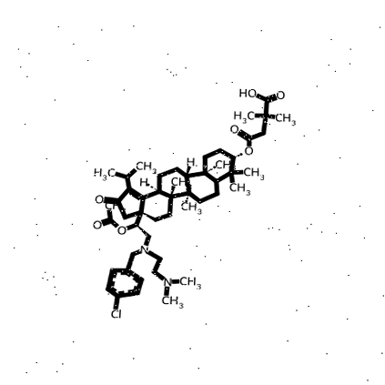 CC(=O)O[C@H](CN(CCN(C)C)Cc1ccc(Cl)cc1)[C@@]12CC[C@]3(C)[C@H](CC[C@@H]4[C@@]5(C)CC[C@H](OC(=O)CC(C)(C)C(=O)O)C(C)(C)C5CC[C@]43C)C1=C(C(C)C)C(=O)C2